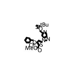 COC(=O)c1sc(-n2cnc3cnc(CO[Si](C)(C)C(C)(C)C)cc32)cc1OCc1ccccc1C(F)(F)F